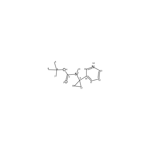 CN(C(=O)OC(C)(C)C)C1(c2cccnc2)CC1